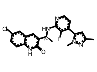 Cc1cc(-c2ccnc(N[C@@H](C)c3cc4cc(Cl)ccc4[nH]c3=O)c2F)n(C)n1